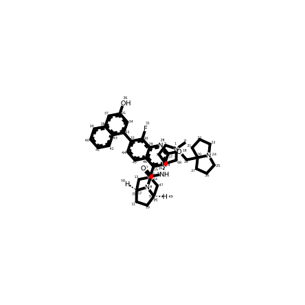 CN1CC[C@@H](NC(=O)N2[C@@H]3CC[C@H]2CN(c2nc(OCC45CCCN4CCC5)nc4c(F)c(-c5cc(O)cc6ccccc56)ccc24)C3)C1